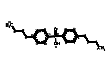 CCCCc1ccc(P(=O)(O)c2ccc(CCCC)cc2)cc1